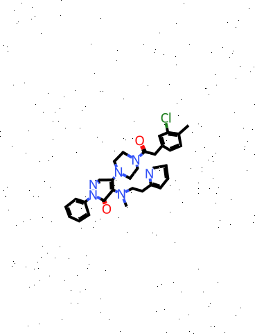 Cc1ccc(CC(=O)N2CCN(c3cnn(-c4ccccc4)c(=O)c3N(C)CCc3ccccn3)CC2)cc1Cl